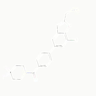 NCc1cc2cc(-c3ccc(C(=O)N4CCC(F)(F)CC4)cc3)cc(Cl)c2o1